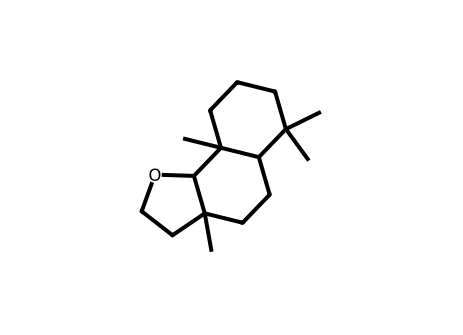 CC1(C)CCCC2(C)C1CCC1(C)CCOC12